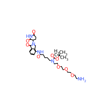 CC(C)(C)OC(=O)N(CCCCC(=O)Nc1cccc2c1CN(C1CCC(=O)NC1=O)C2=O)CCOCCOCCOCCN